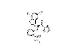 NC(=O)c1ccccc1CN(C(=O)c1nccs1)[C@@H]1CCc2c(F)cc(Cl)cc21